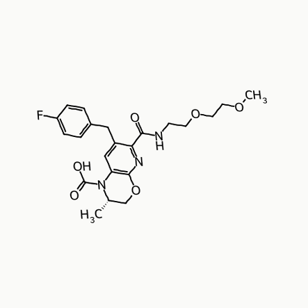 COCCOCCNC(=O)c1nc2c(cc1Cc1ccc(F)cc1)N(C(=O)O)[C@@H](C)CO2